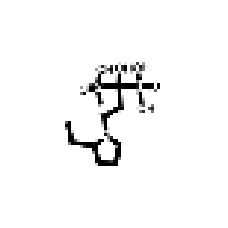 CCC1CCCN1CCC(O)(P(=O)(O)O)P(=O)(O)O